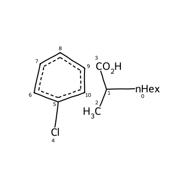 CCCCCCC(C)C(=O)O.Clc1ccccc1